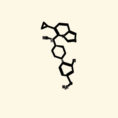 COc1ccc([C@H]2CC[C@H]([C@H](O)c3c(C4CC4)ccc4cncn34)CC2)c(Cl)c1